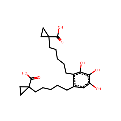 O=C(O)C1(CCCCCc2cc(O)c(O)c(O)c2CCCCCC2(C(=O)O)CC2)CC1